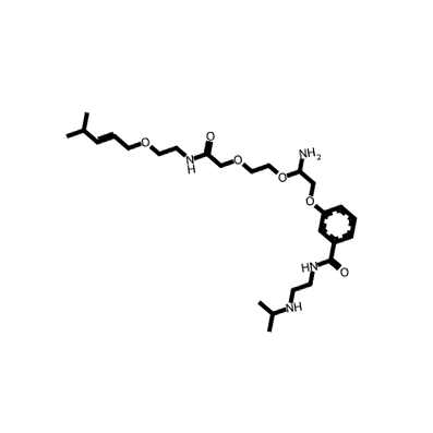 CC(C)/C=C/COCCNC(=O)COCCOC(N)COc1cccc(C(=O)NCCNC(C)C)c1